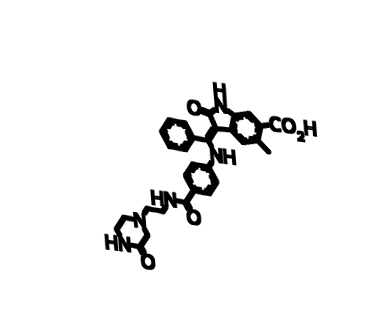 Cc1cc2c(cc1C(=O)O)NC(=O)/C2=C(/Nc1ccc(C(=O)NCCN2CCNC(=O)C2)cc1)c1ccccc1